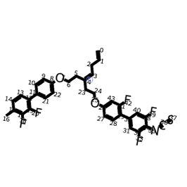 C=CC/C=C(\CCOc1ccc(-c2ccc(C)c(F)c2F)cc1)CCOc1ccc(-c2cc(F)c(N=C=S)c(F)c2)c(F)c1